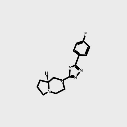 Fc1ccc(-c2nnc(N3CCN4CCC[C@@H]4C3)s2)cc1